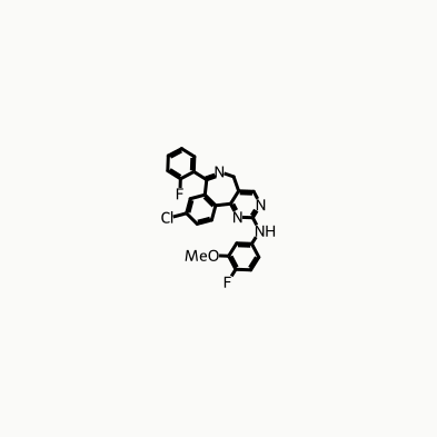 COc1cc(Nc2ncc3c(n2)-c2ccc(Cl)cc2C(c2ccccc2F)=NC3)ccc1F